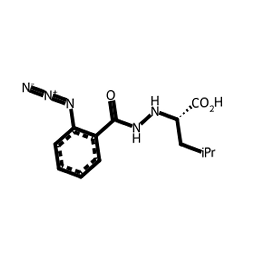 CC(C)C[C@H](NNC(=O)c1ccccc1N=[N+]=[N-])C(=O)O